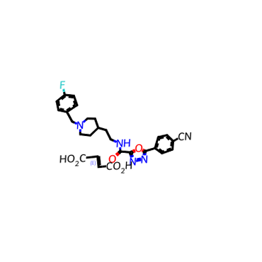 N#Cc1ccc(-c2nnc(C(=O)NCCC3CCN(Cc4ccc(F)cc4)CC3)o2)cc1.O=C(O)/C=C/C(=O)O